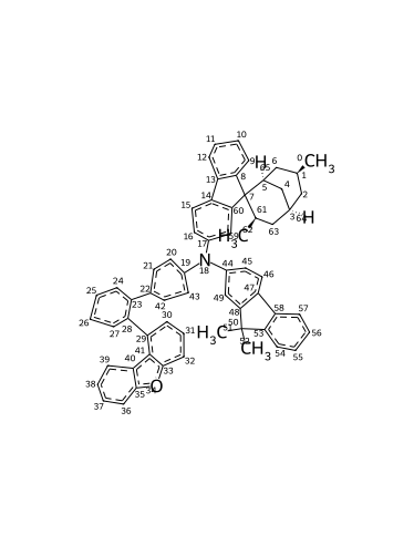 C[C@H]1C[C@@H]2C[C@H](C1)C1(c3ccccc3-c3ccc(N(c4ccc(-c5ccccc5-c5cccc6oc7ccccc7c56)cc4)c4ccc5c(c4)C(C)(C)c4ccccc4-5)cc31)[C@H](C)C2